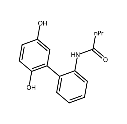 CCCC(=O)Nc1ccccc1-c1cc(O)ccc1O